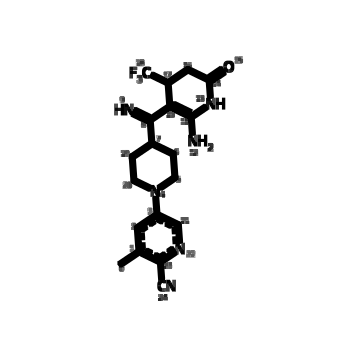 Cc1cc(N2CCC(C(=N)C3=C(N)NC(=O)CC3C(F)(F)F)CC2)cnc1C#N